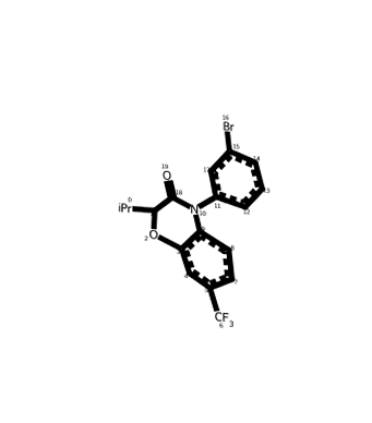 CC(C)C1Oc2cc(C(F)(F)F)ccc2N(c2cccc(Br)c2)C1=O